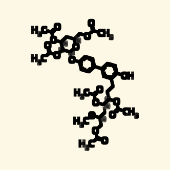 CO[C@H](COC(C)=O)C[C@H](OC(C)=O)[C@@H](CCc1cc(-c2ccc(O[C@H]3O[C@H](COC(C)=O)C[C@H](OC(C)=O)[C@@H]3OC(C)=O)cc2)ccc1O)OC(C)=O